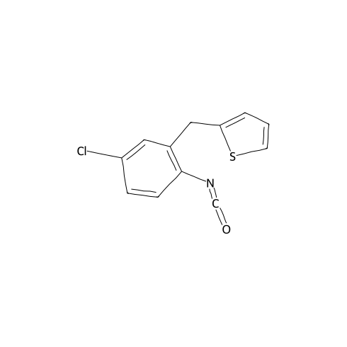 O=C=Nc1ccc(Cl)cc1Cc1cccs1